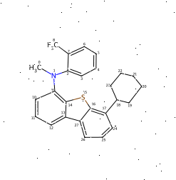 CN(c1ccccc1C(F)(F)F)c1cccc2c1sc1c(C3CCCCC3)cccc12